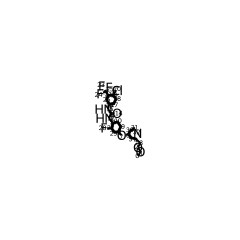 COOCc1cc(Oc2ccc(NC(=O)Nc3ccc(Cl)c(C(F)(F)F)c3)c(F)c2)ccn1